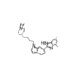 Cc1cc(C)c2nc(-c3ccc4ccn(CCCCC5CCNCC5)c4c3)[nH]c2c1